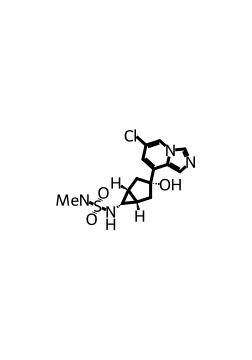 CNS(=O)(=O)N[C@@H]1[C@@H]2C[C@@](O)(c3cc(Cl)cn4cncc34)C[C@@H]21